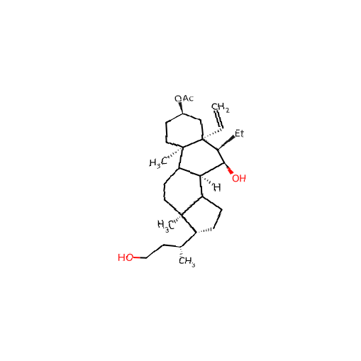 C=C[C@@]12C[C@H](OC(C)=O)CC[C@]1(C)C1CC[C@@]3(C)C(CC[C@@H]3[C@H](C)CCO)[C@@H]1[C@H](O)[C@@H]2CC